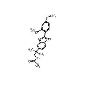 COc1cc(SC)ccc1-c1nc2cc(C(C)(C)CNC(C)=O)ccc2[nH]1